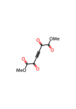 COC(=O)C(=O)C#CC(=O)C(=O)OC